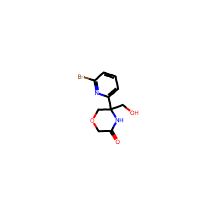 O=C1COCC(CO)(c2cccc(Br)n2)N1